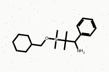 CC(C)(C(N)c1ccccc1)[Si](C)(C)OCC1CCCCC1